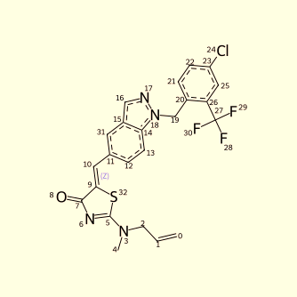 C=CCN(C)C1=NC(=O)/C(=C/c2ccc3c(cnn3Cc3ccc(Cl)cc3C(F)(F)F)c2)S1